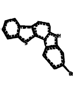 Brc1ccc2c(c1)[nH]c1ccc3c4ccccc4sc3c12